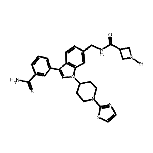 CCN1CC(C(=O)NCc2ccc3c(-c4cccc(C(N)=S)c4)cn(C4CCN(c5nccs5)CC4)c3c2)C1